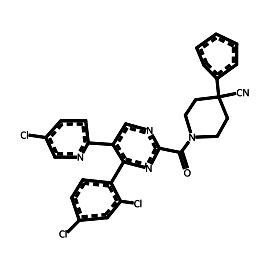 N#CC1(c2ccccc2)CCN(C(=O)c2ncc(-c3ccc(Cl)cn3)c(-c3ccc(Cl)cc3Cl)n2)CC1